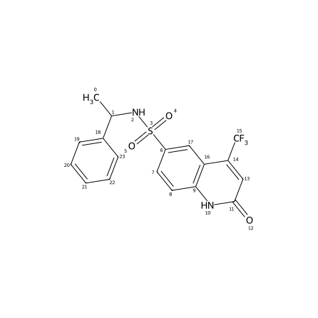 CC(NS(=O)(=O)c1ccc2[nH]c(=O)cc(C(F)(F)F)c2c1)c1ccccc1